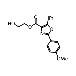 COc1ccc(-c2nc(C(=O)OCCO)c(C(C)C)o2)cc1